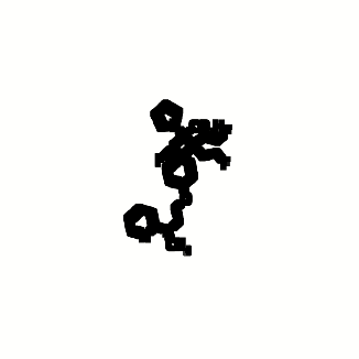 CN(CCOc1ccc(C[C@](C(=O)O)(n2cccc2)C(CCF)(CCF)CCF)cc1)c1ccccn1